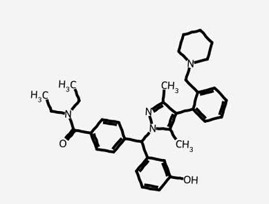 CCN(CC)C(=O)c1ccc(C(c2cccc(O)c2)n2nc(C)c(-c3ccccc3CN3CCCCC3)c2C)cc1